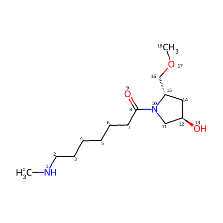 CNCCCCCCC(=O)N1C[C@H](O)C[C@H]1COC